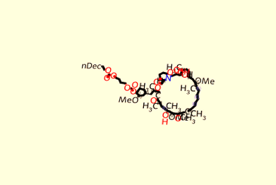 CCCCCCCCCCCCOC(=O)OCCCCOC(=O)O[C@@H]1CC[C@@H](C[C@@H](C)[C@@H]2CC(=O)[C@H](C)/C=C(\C)[C@@H](O)[C@@H](OC)C(=O)[C@H](C)C[C@H](C)/C=C/C=C/C=C(\C)[C@@H](OC)C[C@@H]3CC[C@@H](C)[C@@](O)(O3)C(=O)C(=O)N3CCCC[C@H]3C(=O)O2)C[C@H]1OC